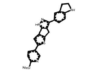 COc1ccc(-c2cc3c(s2)Cc2c(-c4ccc5c(c4)CCN5)n[nH]c2-3)cn1